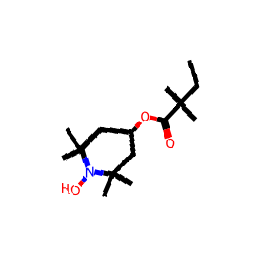 CCC(C)(C)C(=O)OC1CC(C)(C)N(O)C(C)(C)C1